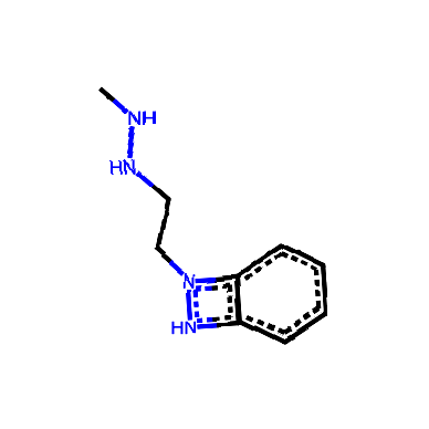 CNNCCn1[nH]c2ccccc21